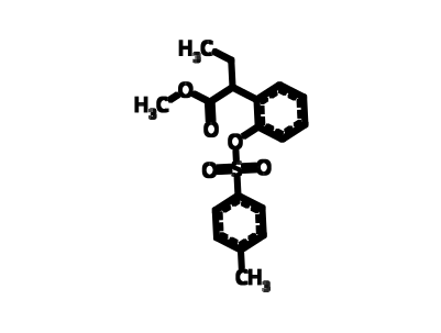 CCC(C(=O)OC)c1ccccc1OS(=O)(=O)c1ccc(C)cc1